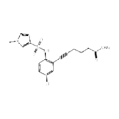 COC(=O)CCCC#Cc1cc(Cl)ccc1NS(=O)(=O)c1cn(C)cn1